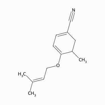 CC(C)=CCOC1=CC=C(C#N)CC1C